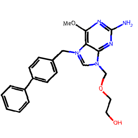 COc1nc(N)nc2c1[n+](Cc1ccc(-c3ccccc3)cc1)cn2COCCO